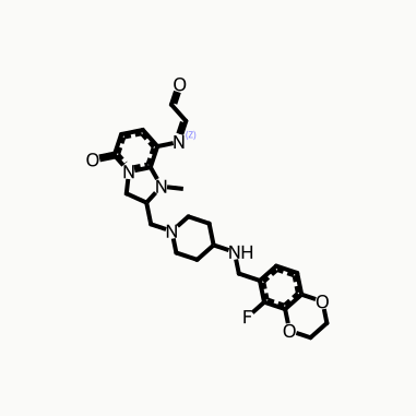 CN1c2c(/N=C\C=O)ccc(=O)n2CC1CN1CCC(NCc2ccc3c(c2F)OCCO3)CC1